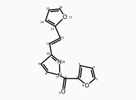 O=C(c1ccco1)n1ccc(C=Cc2ccco2)n1